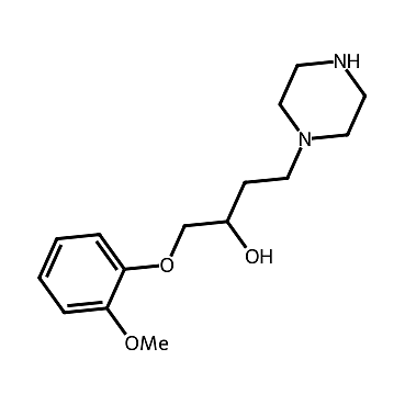 COc1ccccc1OCC(O)CCN1CCNCC1